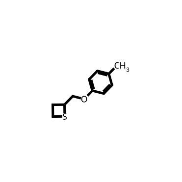 Cc1ccc(OCC2CCS2)cc1